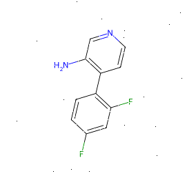 Nc1cnccc1-c1ccc(F)cc1F